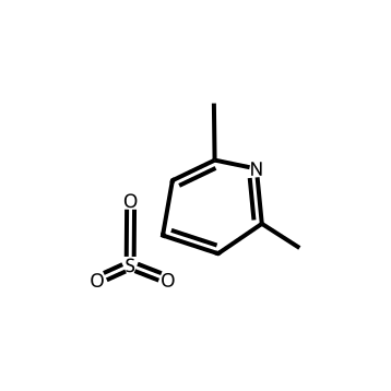 Cc1cccc(C)n1.O=S(=O)=O